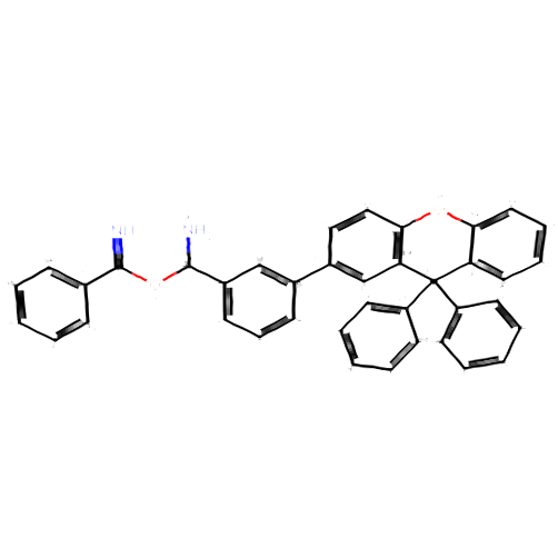 N=C(OC(N)c1cccc(-c2ccc3c(c2)C(c2ccccc2)(c2ccccc2)c2ccccc2O3)c1)c1ccccc1